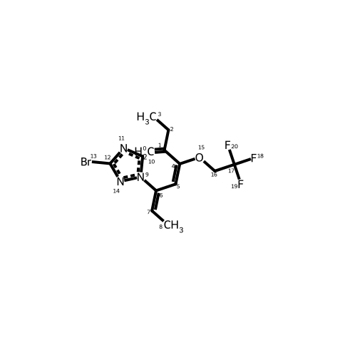 C=C(CC)/C(=C\C(=C/C)n1cnc(Br)n1)OCC(F)(F)F